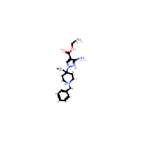 CCOC(=O)c1cn(C2(C)CCN(Cc3ccccc3)CC2)nc1N